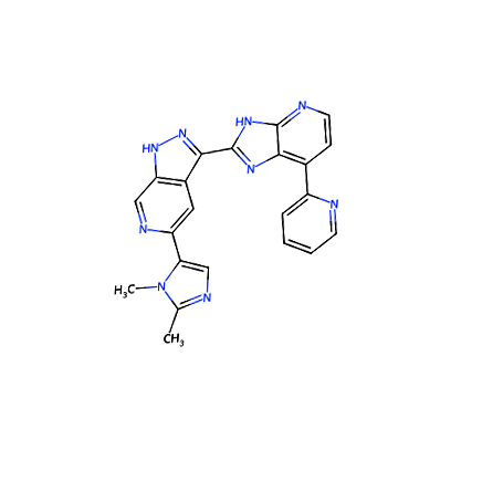 Cc1ncc(-c2cc3c(-c4nc5c(-c6ccccn6)ccnc5[nH]4)n[nH]c3cn2)n1C